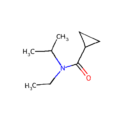 CCN(C(=O)C1CC1)C(C)C